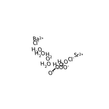 O.O.O.O.O.O.O=C([O-])[O-].[Ba+2].[Cl-].[Cl-].[Sr+2]